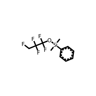 C[Si](C)(OC(F)(F)C(F)(F)CF)c1ccccc1